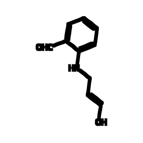 O=Cc1ccccc1NCC=CO